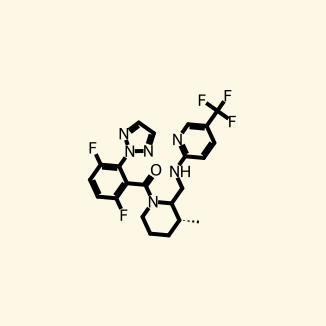 C[C@@H]1CCCN(C(=O)c2c(F)ccc(F)c2-n2nccn2)C1CNc1ccc(C(F)(F)F)cn1